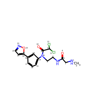 CNCC(=O)NCCN(C(=O)C(Cl)Cl)c1cccc(-c2ccno2)c1